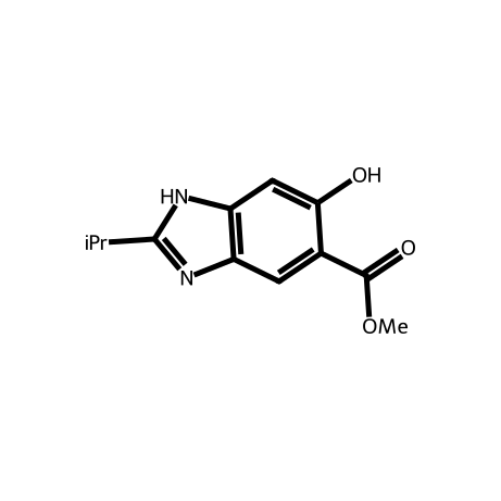 COC(=O)c1cc2nc(C(C)C)[nH]c2cc1O